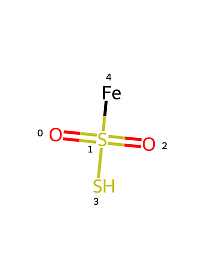 O=[S](=O)(S)[Fe]